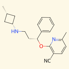 Cc1ccc(C#N)c(O[C@H](CCN[C@H]2C[C@@H](C)C2)c2ccccc2)n1